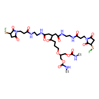 CCNC(=O)OCC(COC(=O)NCC)OCCCC(=O)C(CC(=O)NCCNC(=O)CCN1C(=O)CC(SF)C1=O)CC(=O)NCCNC(=O)CCN1C(=O)CC(SF)C1=O